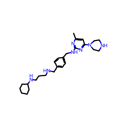 Cc1cc(N2CCNCC2)nc(NCc2ccc(CNCCCNC3CCCCC3)cc2)n1